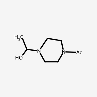 CC(=O)N1CCN(C(C)O)CC1